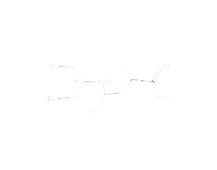 C=C(C)C(=O)OC(CC)[SiH2][SiH](OC(C)C)OC(C)C